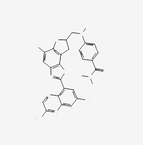 COc1cnc2c(-c3nc4cc(F)c5c(c4s3)CC(CN(C(=O)O)c3ccc(C(=O)N(C)C)cc3)O5)cc(C)cc2n1